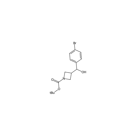 CC(C)(C)OC(=O)N1CC(C(O)c2ccc(Br)cc2)C1